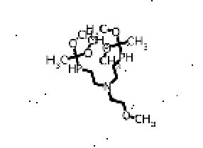 COCCN(CCPC(C)(OC)OC)CCPC(C)(OC)OC